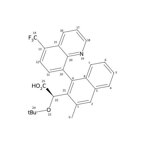 Cc1cc2ccccc2c(-c2ccc(C(F)(F)F)c3cccnc23)c1[C@@H](OC(C)(C)C)C(=O)O